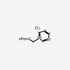 CCCCCC[n+]1cccnc1.[Cl-]